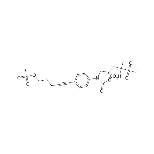 CC(CC1CN(c2ccc(C#CCCCOS(C)(=O)=O)cc2)C(=O)O1)(C(=O)O)S(C)(=O)=O